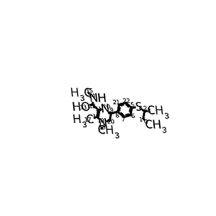 CCC(C)Sc1ccc(C2=NC(C(O)NC)=C(C)N(C)C2)cc1